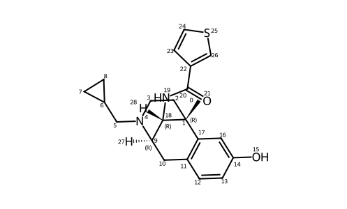 C[C@@]12CCN(CC3CC3)[C@H](Cc3ccc(O)cc31)[C@@H]2NC(=O)c1ccsc1